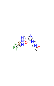 C=CC(=O)N1CCN(c2cncc(C(C)C(=O)Nc3ncc(C(F)(F)F)s3)c2)CC1